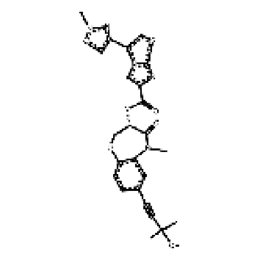 CN1C(=O)[C@@H](NC(=O)c2cn3c(-c4cnn(C)n4)csc3n2)COc2ccc(C#CC(C)(C)O)cc21